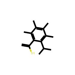 C=C(S)c1c(C)c(C)c(C)c(C)c1C(C)C